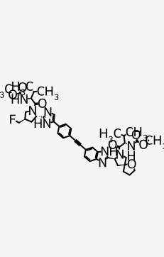 COC(=O)N[C@H](C(=O)N1C[C@H](CF)C[C@H]1c1ncc(-c2ccc(C#Cc3ccc4nc([C@@H]5C[C@@]6(CCCO6)CN5C(=O)[C@@H](NC(=O)OC)C(C)C)[nH]c4c3)cc2)[nH]1)C(C)C